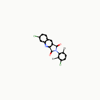 CCc1ccc(Cl)c(CC)c1N1C(=O)c2cc3ccc(Cl)cc3nc2C1=O